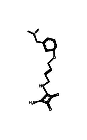 CN(C)Cc1cccc(OCC=CCNc2c(N)c(=O)c2=O)c1